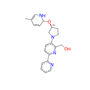 CC1=CNC(O[C@H]2CCN(c3ccc(-c4ccccn4)nc3CO)C2)C=C1